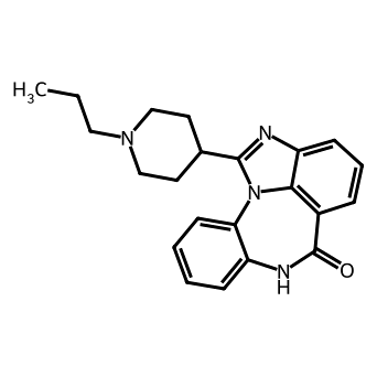 CCCN1CCC(c2nc3cccc4c3n2-c2ccccc2NC4=O)CC1